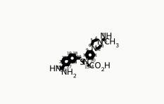 CC(=N)N1CCCN(c2ccc(N(CC(=O)O)SCc3ccc4ccc(C(=N)N)cc4c3)cc2)CC1